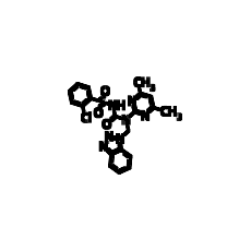 Cc1cc(C)nc(N(Cn2nnc3ccccc32)C(=O)NS(=O)(=O)c2ccccc2Cl)n1